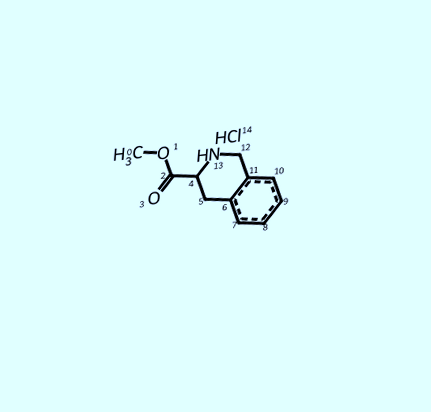 COC(=O)C1Cc2ccccc2CN1.Cl